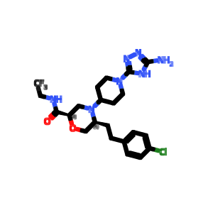 Nc1nnc(N2CCC(N3C[C@H](C(=O)NCC(F)(F)F)OC[C@@H]3CCc3ccc(Cl)cc3)CC2)[nH]1